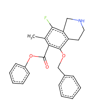 Cc1c(F)c2c(c(OCc3ccccc3)c1C(=O)Oc1ccccc1)CCNC2